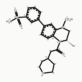 C[C@H]1CN(C(=O)O)c2cc(-c3cccc(S(N)(=O)=O)c3)ccc2N1C(=O)CC1CCOCC1